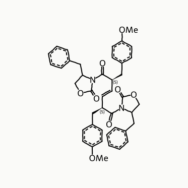 COc1ccc(C[C@@H](C=C[C@H](Cc2ccc(OC)cc2)C(=O)N2C(=O)OCC2Cc2ccccc2)C(=O)N2C(=O)OCC2Cc2ccccc2)cc1